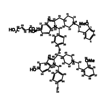 COc1ccccc1CCN1CCC(Cc2nc3cc(O)ccc3n2Cc2ccc(F)cc2)CC1.COc1ccccc1CCN1CCC(Cc2nc3cc(O)ccc3n2Cc2ccc(F)cc2)CC1.O=C(O)C=CC(=O)O